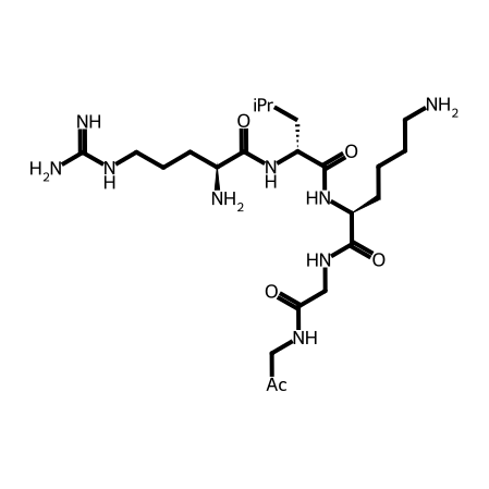 CC(=O)CNC(=O)CNC(=O)[C@H](CCCCN)NC(=O)[C@@H](CC(C)C)NC(=O)[C@@H](N)CCCNC(=N)N